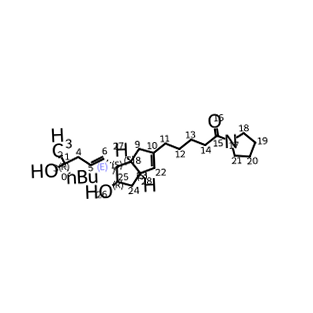 CCCC[C@@](C)(O)C/C=C/[C@@H]1[C@H]2CC(CCCCC(=O)N3CCCC3)=C[C@H]2C[C@H]1O